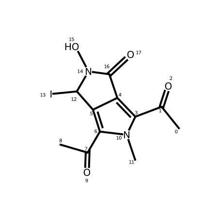 CC(=O)c1c2c(c(C(C)=O)n1C)C(I)N(O)C2=O